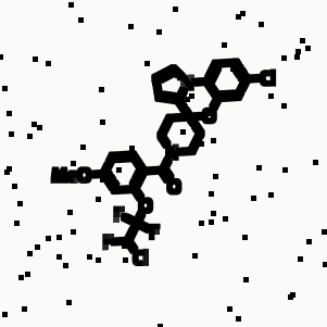 COc1ccc(C(=O)N2CCC3(CC2)Oc2cc(Cl)ccc2-n2cccc23)c(OC(F)(F)C(F)Cl)c1